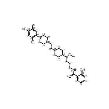 COC(CCCNC(=O)c1ccccc1O)C1CCC(CCN2CCN(c3cc(C)c(F)cc3Cl)CC2)CC1